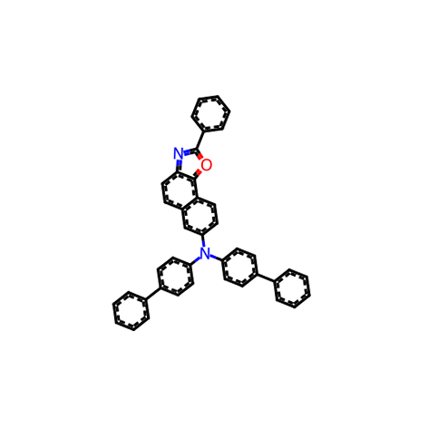 c1ccc(-c2ccc(N(c3ccc(-c4ccccc4)cc3)c3ccc4c(ccc5nc(-c6ccccc6)oc54)c3)cc2)cc1